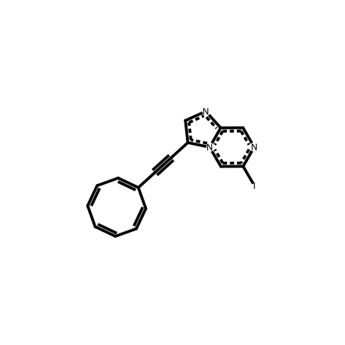 Ic1cn2c(C#CC3=C/C=C\C=C/C=C\3)cnc2cn1